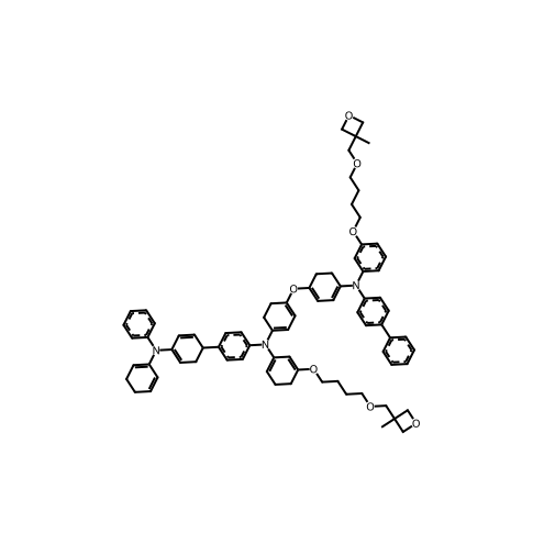 CC1(COCCCCOC2=CC(N(C3=CC=C(OC4=CC=C(N(c5ccc(-c6ccccc6)cc5)c5cccc(OCCCCOCC6(C)COC6)c5)CC4)CC3)c3ccc(C4C=CC(N(C5=CCCC=C5)c5ccccc5)=CC4)cc3)=CCC2)COC1